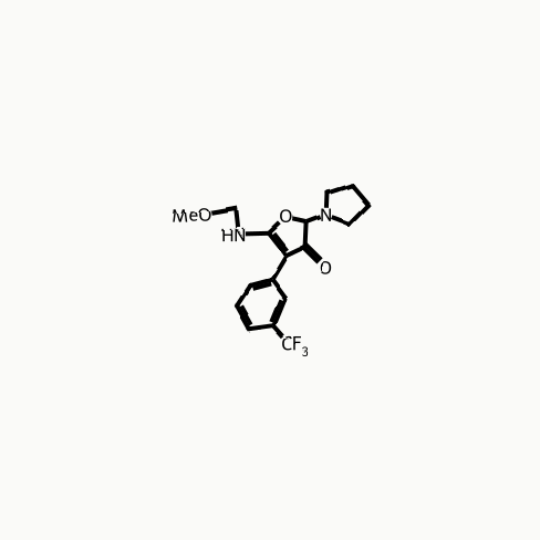 COCNC1=C(c2cccc(C(F)(F)F)c2)C(=O)C(N2CCCC2)O1